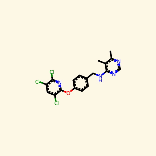 Cc1ncnc(NCc2ccc(Oc3nc(Cl)c(Cl)cc3Cl)cc2)c1C